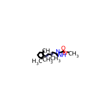 CCOC(=O)c1nc(/C=C(C)/C=C/C2=C(C)CCCC2(C)C)c[nH]1